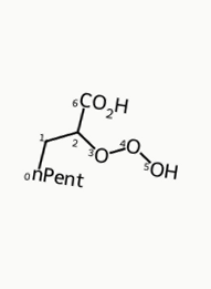 CCCCCCC(OOO)C(=O)O